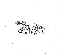 Cc1c(C)n(C)c(=O)c2ccc(Nc3ncc(-c4nc(C56CCN(CC5)CC6)no4)c(N[C@H](CO)c4ccccc4)n3)cc12